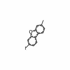 Cc1ccc2c(c1)oc1cc(I)ccc12